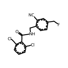 N#Cc1cc(CF)ccc1CNC(=O)c1c(Cl)cccc1Cl